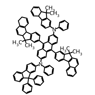 CC1(C)c2cc(-c3c4ccc(N(c5ccccc5)c5ccc6c(c5)C(C)(C)C5C=CC=CC65)cc4c(-c4ccc5c(c4)C(C)(C)C4C=CC6=C(C=CCC6)C54)c4ccc(N(c5ccccc5)c5ccc6c(c5)C(c5ccccc5)(c5ccccc5)c5ccccc5-6)cc34)ccc2-c2c1ccc1ccccc21